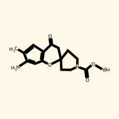 Cc1cc2c(cc1N)OC1(CCN(C(=O)OC(C)(C)C)CC1)CC2=O